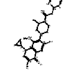 COc1c(N2CCN(C(=O)CC(P=O)P=O)C(C)C2)c(F)cc2c(=O)c(C(C)=O)cn(C3CC3)c12